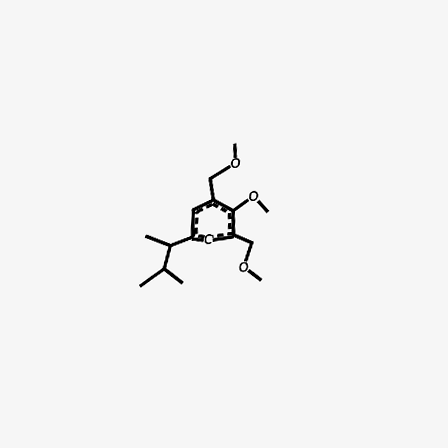 COCc1cc(C(C)C(C)C)cc(COC)c1OC